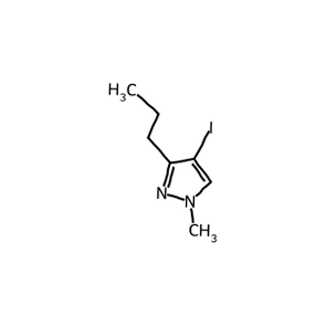 CCCc1nn(C)cc1I